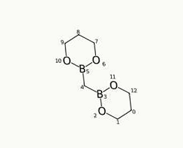 C1COB(CB2OCCCO2)OC1